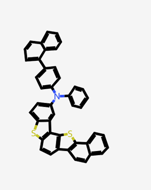 c1ccc(N(c2ccc(-c3cccc4ccccc34)cc2)c2ccc3sc4ccc5c6ccc7ccccc7c6sc5c4c3c2)cc1